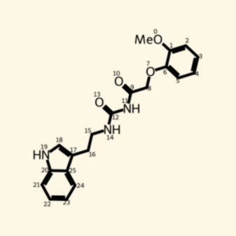 COc1ccccc1OCC(=O)NC(=O)NCCc1c[nH]c2ccccc12